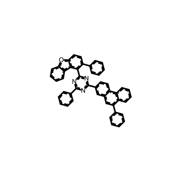 c1ccc(-c2nc(-c3ccc4c(c3)cc(-c3ccccc3)c3ccccc34)nc(-c3c(-c4ccccc4)ccc4oc5ccccc5c34)n2)cc1